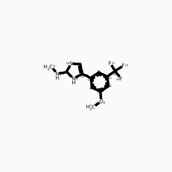 CNC1NC(c2cc(OC)cc(C(F)(F)F)c2)=CS1